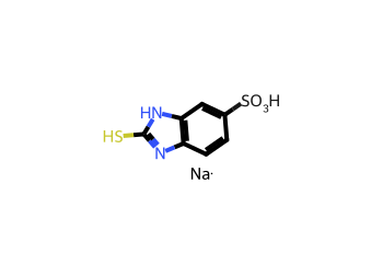 O=S(=O)(O)c1ccc2nc(S)[nH]c2c1.[Na]